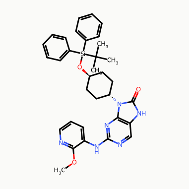 COc1ncccc1Nc1ncc2[nH]c(=O)n([C@H]3CC[C@H](O[Si](c4ccccc4)(c4ccccc4)C(C)(C)C)CC3)c2n1